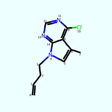 C=CCCn1cc(C)c2c(Cl)ncnc21